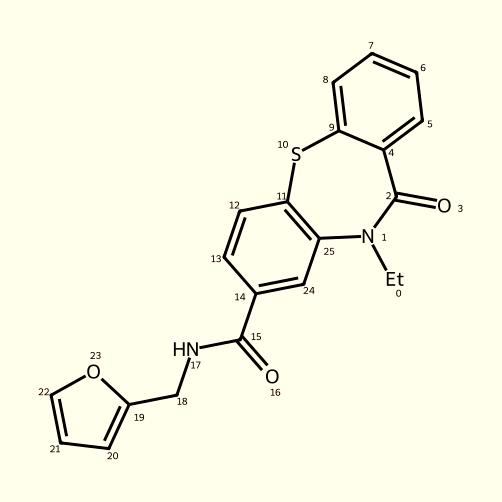 CCN1C(=O)c2ccccc2Sc2ccc(C(=O)NCc3ccco3)cc21